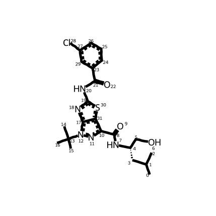 CC(C)C[C@@H](CO)NC(=O)c1nn(C(C)(C)C)c2nc(NC(=O)c3cccc(Cl)c3)sc12